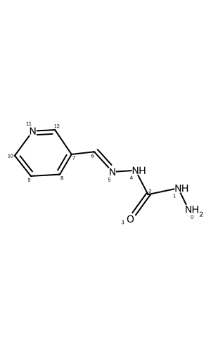 NNC(=O)N/N=C/c1cccnc1